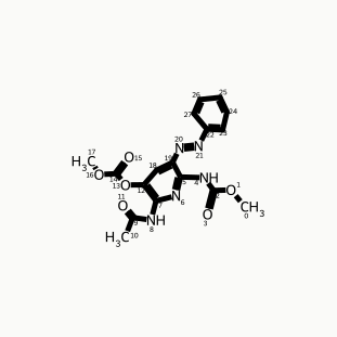 COC(=O)Nc1nc(NC(C)=O)c(OC(=O)OC)cc1/N=N/c1ccccc1